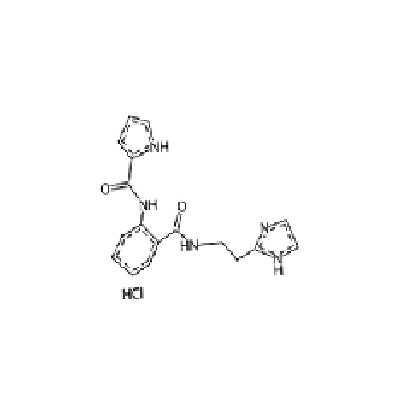 Cl.O=C(Nc1ccccc1C(=O)NCCc1ncc[nH]1)c1ccc[nH]1